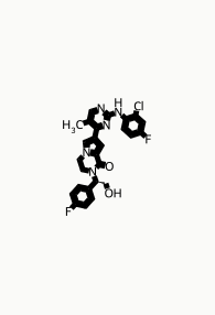 Cc1cnc(Nc2ccc(F)cc2Cl)nc1-c1cc2n(c1)CCN([C@H](CO)c1ccc(F)cc1)C2=O